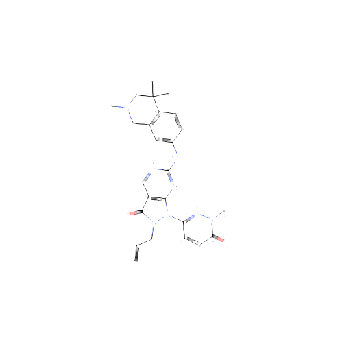 C=CCn1c(=O)c2cnc(Nc3ccc4c(c3)CN(C)CC4(C)C)nc2n1-c1ccc(=O)n(C(C)C)n1